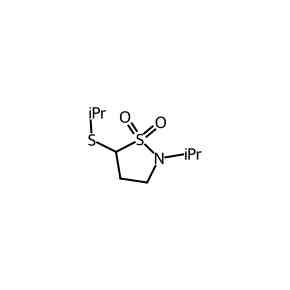 CC(C)SC1CCN(C(C)C)S1(=O)=O